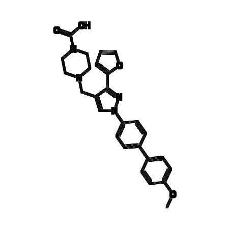 COc1ccc(-c2ccc(-n3cc(CN4CCN(C(=O)O)CC4)c(-c4ccco4)n3)cc2)cc1